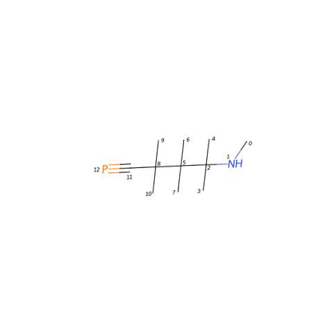 CNC(C)(C)C(C)(C)C(C)(C)C#P